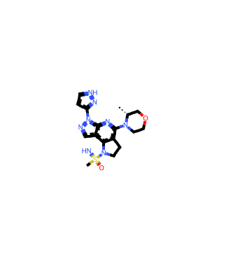 C[C@@H]1COCCN1c1nc2c(cnn2-c2cc[nH]n2)c2c1CCN2S(C)(=N)=O